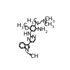 C#CCn1cc(-c2ccnc(Nc3cc(N)c(N(C)CCN(C)C)cc3OC)n2)c2ccccc21